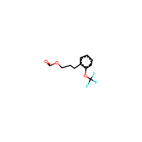 O=COCCCc1ccccc1OC(F)(F)F